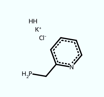 PCc1ccccn1.[Cl-].[HH].[K+]